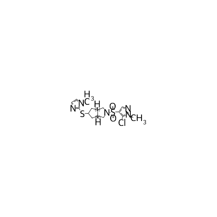 Cn1ccnc1SC1C[C@@H]2CN(S(=O)(=O)c3cnn(C)c3Cl)C[C@@H]2C1